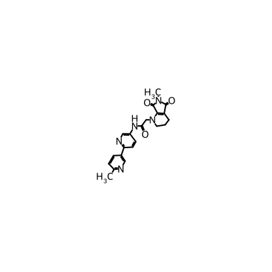 Cc1ccc(-c2ccc(NC(=O)CN3CCCC4=C3C(=O)N(C)C4=O)cn2)cn1